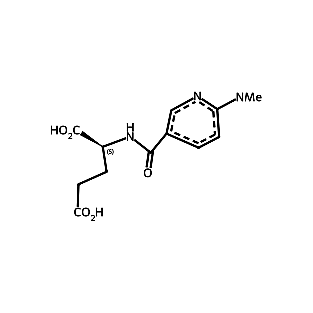 CNc1ccc(C(=O)N[C@@H](CCC(=O)O)C(=O)O)cn1